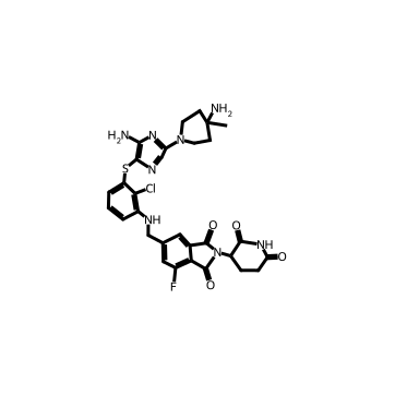 CC1(N)CCN(c2cnc(Sc3cccc(NCc4cc(F)c5c(c4)C(=O)N(C4CCC(=O)NC4=O)C5=O)c3Cl)c(N)n2)CC1